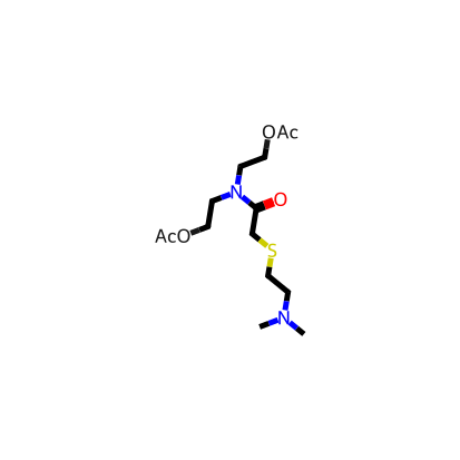 CC(=O)OCCN(CCOC(C)=O)C(=O)CSCCN(C)C